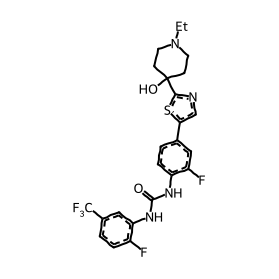 CCN1CCC(O)(c2ncc(-c3ccc(NC(=O)Nc4cc(C(F)(F)F)ccc4F)c(F)c3)s2)CC1